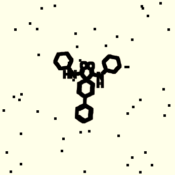 O=C(NC1CCCCC1)C1(C(=O)NC2CCCCC2)C=CC(c2ccccc2)C=C1